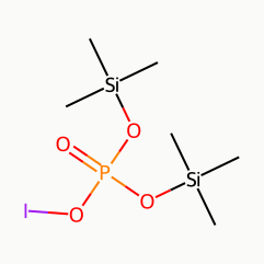 C[Si](C)(C)OP(=O)(OI)O[Si](C)(C)C